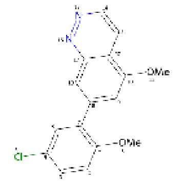 COc1ccc(Cl)cc1-c1cc(OC)c2ccnnc2c1